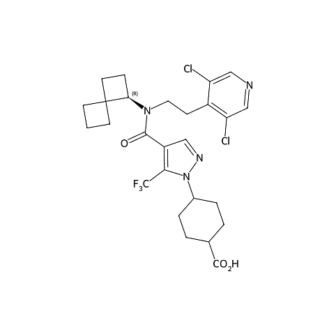 O=C(O)C1CCC(n2ncc(C(=O)N(CCc3c(Cl)cncc3Cl)[C@@H]3CCC34CCC4)c2C(F)(F)F)CC1